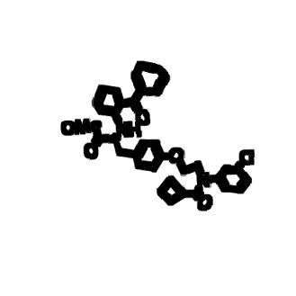 COC(=O)[C@H](Cc1ccc(OCCN(C(=O)C2CCC2)c2cccc(Cl)c2)cc1)Nc1ccccc1C(=O)c1ccccc1